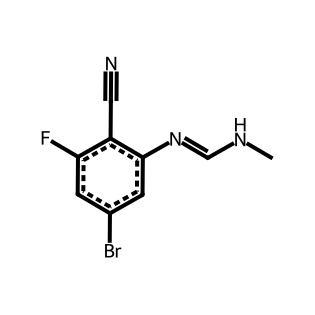 CN/C=N/c1cc(Br)cc(F)c1C#N